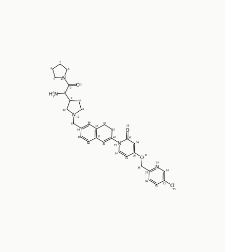 NC(C(=O)N1CCCC1)C1CCN(Cc2ccc3c(c2)CCC(n2ccc(OCc4ccc(Cl)cn4)cc2=O)=C3)C1